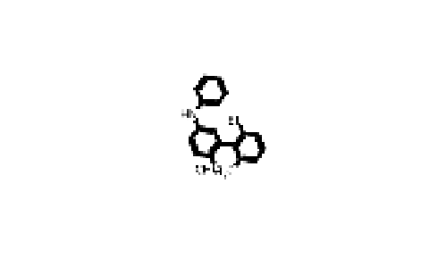 CCc1cccc(C)c1-c1cc(Nc2ccccc2)ccc1C=O